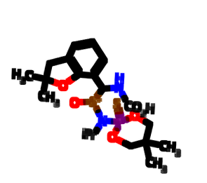 CC(C)N([S+]([O-])C(NC(=O)O)c1cccc2c1OC(C)(C)C2)P1(=S)OCC(C)(C)CO1